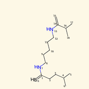 B=C(CCC(C)C)NCCCCCNC(=C)C(C)C